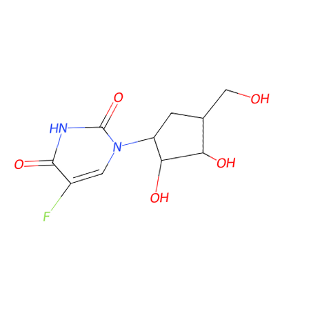 O=c1[nH]c(=O)n(C2CC(CO)C(O)C2O)cc1F